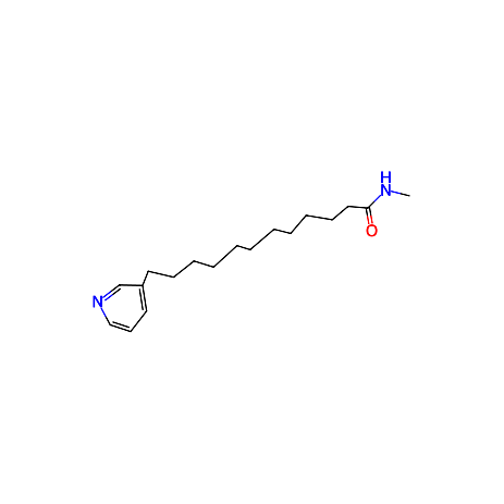 CNC(=O)CCCCCCCCCCCc1cccnc1